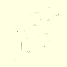 COc1ccc(CN2C(=O)COc3ccc(N4CC(CC(C)O)OC4=O)nc32)cc1